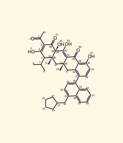 CC(=O)C1=C(O)C(C(C)C)[C@@]2(C)C[C@@]3(C)Cc4c(-c5ccc(CC6CCCC6)c6ccccc56)ccc(O)c4C(=O)C3=C(O)[C@@]2(O)C1=O